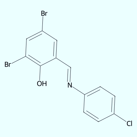 Oc1c(Br)cc(Br)cc1/C=N/c1ccc(Cl)cc1